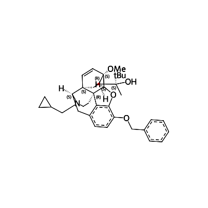 CO[C@@]12C=C[C@]3(C[C@@H]1[C@](C)(O)C(C)(C)C)[C@@H]1Cc4ccc(OCc5ccccc5)c5c4[C@]3(CCN1CC1CC1)[C@@H]2O5